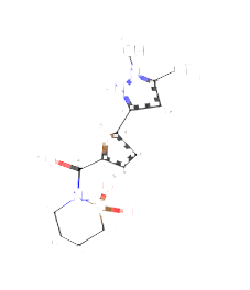 Cn1nc(-c2ccc(C(=O)N3CCCCS3(=O)=O)s2)cc1C(F)(F)F